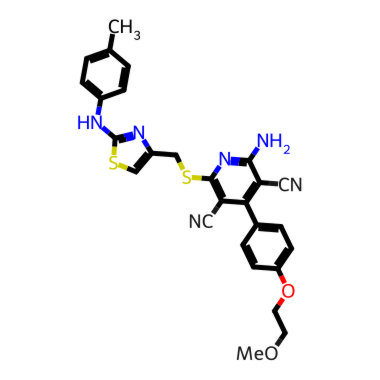 COCCOc1ccc(-c2c(C#N)c(N)nc(SCc3csc(Nc4ccc(C)cc4)n3)c2C#N)cc1